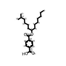 CCCCCCCC(CCCCC(C)C)OC(=O)c1ccc(C(=O)O)cc1